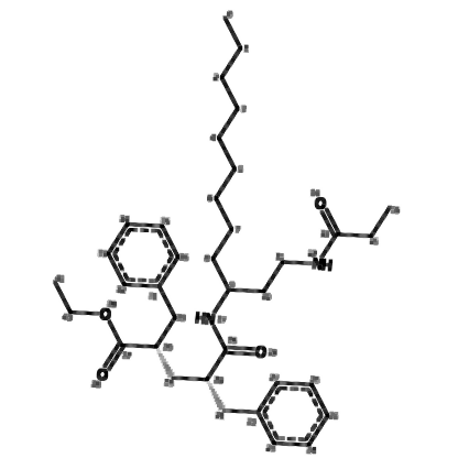 CCCCCCCCCC(CCNC(=O)CC)NC(=O)[C@H](Cc1ccccc1)C[C@@H](Cc1ccccc1)C(=O)OCC